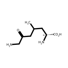 CC(CC(=O)CN)C[C@@H](N)C(=O)O